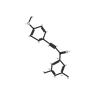 COc1ccc(C#CC(=O)c2cc(C)cc(C)c2)cc1